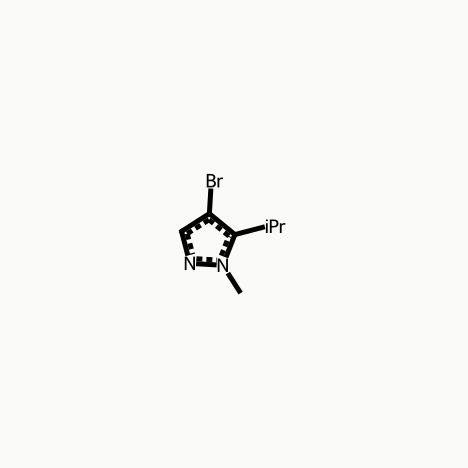 CC(C)c1c(Br)cnn1C